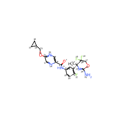 CC1(c2cc(NC(=O)c3cnc(OCC4CC4)cn3)ccc2F)N=C(N)OCC1(F)F